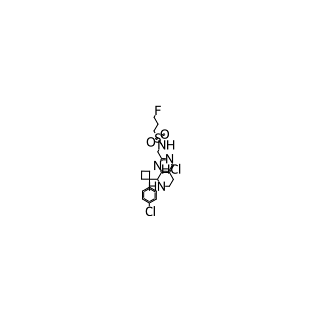 Cl.O=S(=O)(CCCF)NCc1ncc2c(n1)C(C1(c3ccc(Cl)cc3)CCC1)NCC2